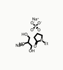 CCN1CCCC1=O.O=P([O-])([O-])[O-].OCC(O)CO.[Na+].[Na+].[Na+]